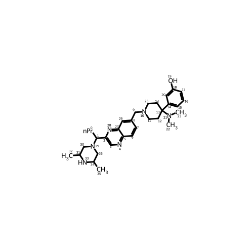 CCCC(c1cnc2ccc(CN3CCC(c4cccc(O)c4)(N(C)C)CC3)cc2n1)N1CC(C)NC(C)C1